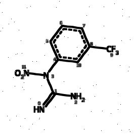 N=C(N)N(c1cccc(C(F)(F)F)c1)[N+](=O)[O-]